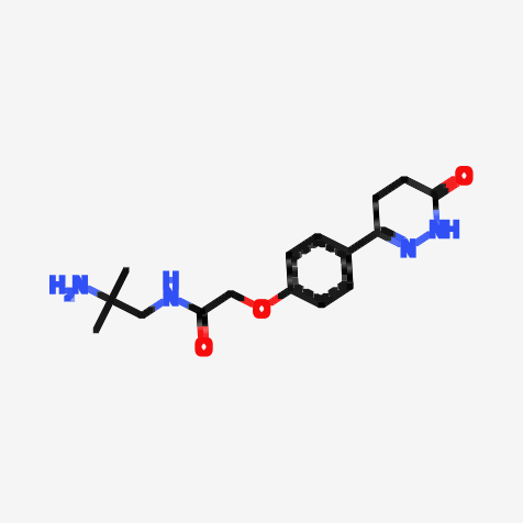 CC(C)(N)CNC(=O)COc1ccc(C2=NNC(=O)CC2)cc1